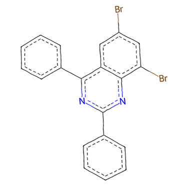 Brc1cc(Br)c2nc(-c3ccccc3)nc(-c3ccccc3)c2c1